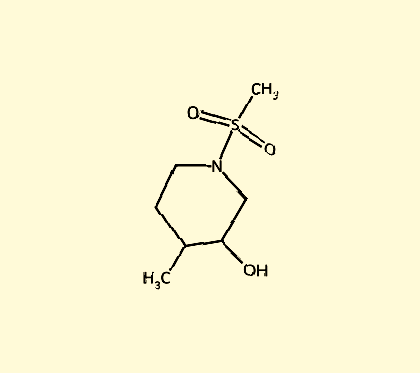 CC1CCN(S(C)(=O)=O)CC1O